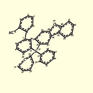 N#Cc1ccccc1-c1cccc([Si](c2ccccc2)(c2ccccc2)c2ccc3oc4ccccc4c3c2)c1